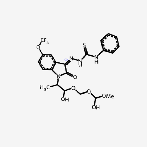 COC(O)OCOC(O)C(C)N1C(=O)/C(=N\NC(=S)Nc2ccccc2)c2cc(OC(F)(F)F)ccc21